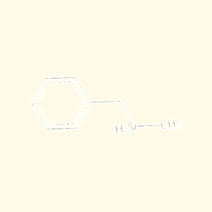 [CH2][SiH2]Cc1ccccc1